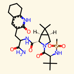 CC(C)(C)[C@H](NS(C)(=O)=O)C(=O)N1C[C@H]2[C@@H]([C@H]1C(=O)NC(Cc1cc3c([nH]c1=O)CCCC3)C(N)=O)C2(C)C